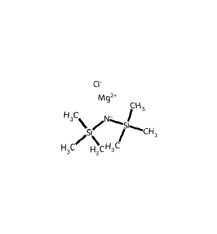 C[Si](C)(C)[N-][Si](C)(C)C.[Cl-].[Mg+2]